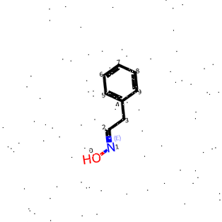 O/N=[C]/Cc1ccccc1